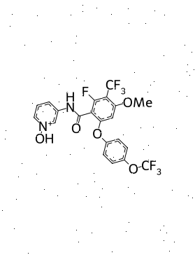 COc1cc(Oc2ccc(OC(F)(F)F)cc2)c(C(=O)Nc2ccc[n+](O)c2)c(F)c1C(F)(F)F